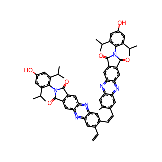 C=Cc1cc2nc3cc4c(cc3nc2cc1/C=C\c1cc2nc3cc5c(cc3nc2cc1C)C(=O)N(c1c(C(C)C)cc(O)cc1C(C)C)C5=O)C(=O)N(c1c(C(C)C)cc(O)cc1C(C)C)C4=O